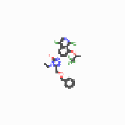 CCn1c(COCc2ccccc2)nn(-c2cc(OC(C)C(F)(F)F)c3c(Cl)ncc(F)c3c2)c1=O